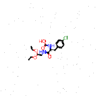 CCOC(CNC(=O)[C@H](Cc1ccc(Cl)cc1)NC(=O)O)OCC